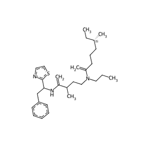 C=C(NC(Cc1ccccc1)c1nccs1)C(C)CCN(CCC)C(=C)CCC[C@@H](C)CC